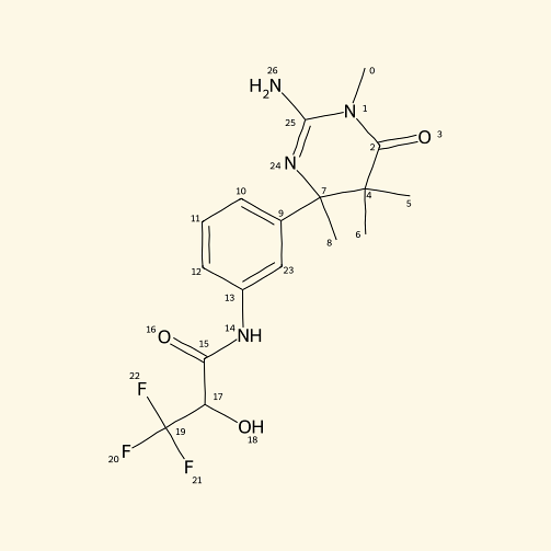 CN1C(=O)C(C)(C)C(C)(c2cccc(NC(=O)C(O)C(F)(F)F)c2)N=C1N